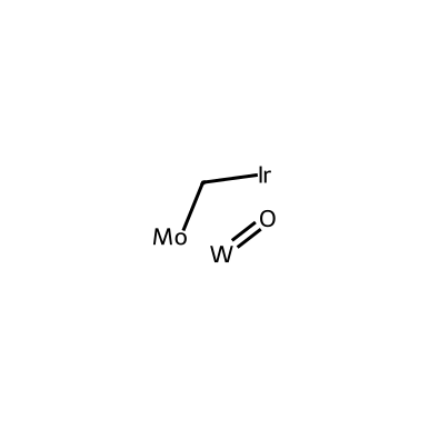 [Mo][CH2][Ir].[O]=[W]